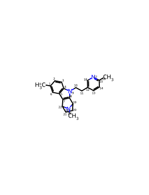 Cc1ccc2c(c1)c1c(n2CCc2ccc(C)nc2)C2CCC1N2C